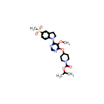 COc1c(OC2CCN(C(=O)OC(C)C)CC2)ncnc1N1CCc2cc(S(C)(=O)=O)ccc21